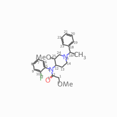 COCC(=O)N(c1ccccc1F)C1CCN(C(C)c2ccccc2)CC1OC